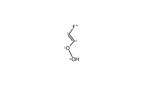 OOC=CF